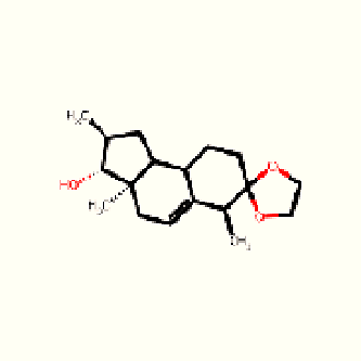 CC1C2=CC[C@]3(C)C(C[C@H](C)[C@H]3O)C2CCC12OCCO2